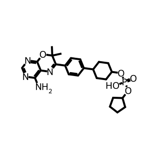 CC1(C)Oc2ncnc(N)c2N=C1c1ccc(C2CCC(OP(=O)(O)OC3CCCC3)CC2)cc1